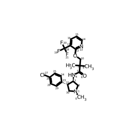 CN1C[C@H](NC(=O)C(C)(C)COc2ncccc2C(F)(F)F)[C@@H](c2ccc(Cl)cc2)C1